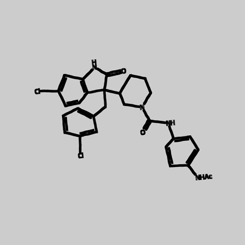 CC(=O)Nc1ccc(NC(=O)N2CCCC(C3(Cc4cccc(Cl)c4)C(=O)Nc4cc(Cl)ccc43)C2)cc1